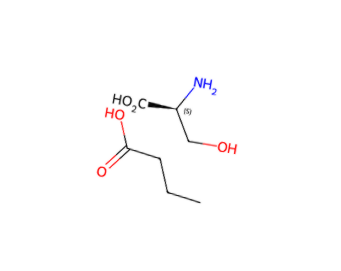 CCCC(=O)O.N[C@@H](CO)C(=O)O